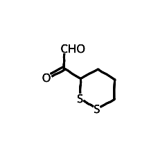 O=CC(=O)C1CCCSS1